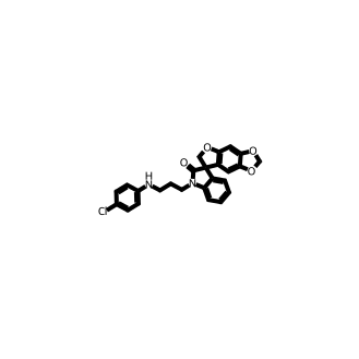 O=C1N(CCCNc2ccc(Cl)cc2)c2ccccc2C12COc1cc3c(cc12)OCO3